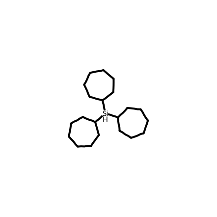 C1CCCC([SiH](C2CCCCCC2)C2CCCCCC2)CC1